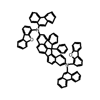 c1ccc(C2(c3ccccc3)c3c(ccc4cc(N(c5cc6ccccc6c6ccccc56)c5cccc6c5oc5ccccc56)ccc34)-c3ccc4cc(N(c5cc6ccccc6c6ccccc56)c5cccc6c5oc5ccccc56)ccc4c32)cc1